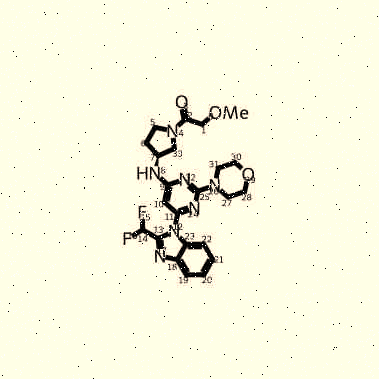 COCC(=O)N1CC[C@H](Nc2cc(-n3c(C(F)F)nc4ccccc43)nc(N3CCOCC3)n2)C1